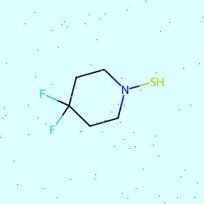 FC1(F)CCN(S)CC1